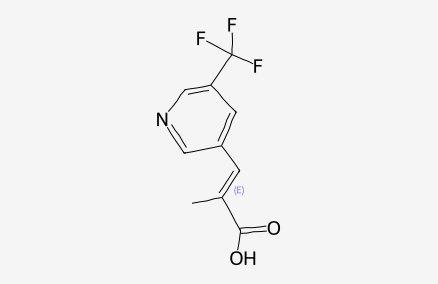 C/C(=C\c1cncc(C(F)(F)F)c1)C(=O)O